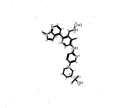 Cc1c(Nc2ccc(N3CCC[C@@H](C(C)(C)O)C3)cn2)cnc(-c2ccnc3c2ccn3C)c1CNC=O